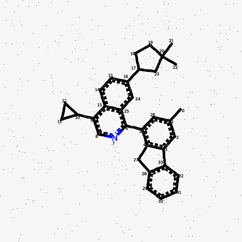 Cc1cc2c(c(-c3ncc(C4CC4)c4ccc(C5CCC(C)(C)C5)cc34)c1)Cc1ccccc1-2